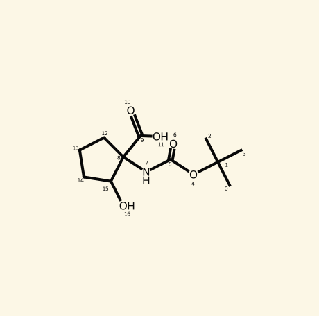 CC(C)(C)OC(=O)NC1(C(=O)O)CCCC1O